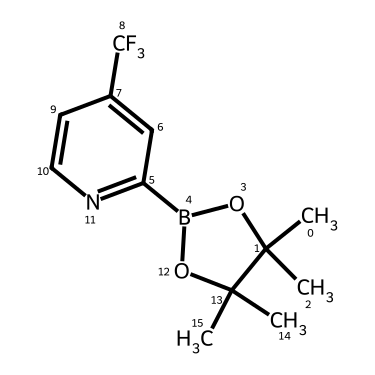 CC1(C)OB(c2cc(C(F)(F)F)ccn2)OC1(C)C